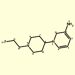 NC1=CC=CN(C2CCN(CCF)CC2)C1